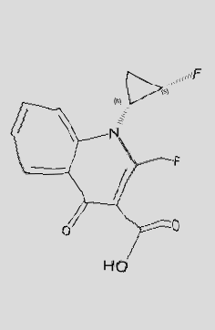 O=C(O)c1c(F)n([C@@H]2C[C@@H]2F)c2ccccc2c1=O